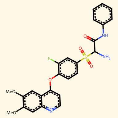 COc1cc2nccc(Oc3ccc(S(=O)(=O)C(N)C(=O)Nc4ccccc4)cc3F)c2cc1OC